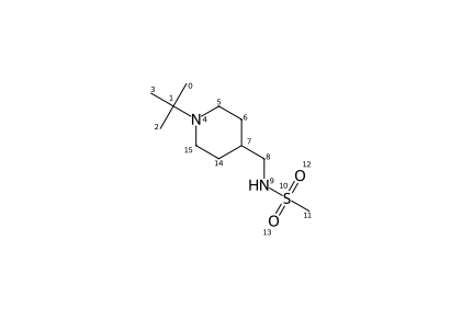 CC(C)(C)N1CCC(CNS(C)(=O)=O)CC1